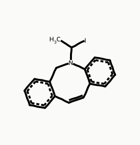 CC(I)N1Cc2ccccc2/C=C\c2ccccc21